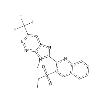 CCS(=O)(=O)c1cc2ccccc2nc1-c1nc2cc(C(F)(F)F)nnc2n1C